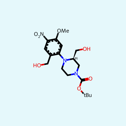 COc1cc(N2CCN(C(=O)OC(C)(C)C)C[C@@H]2CO)c(CO)cc1[N+](=O)[O-]